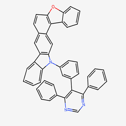 c1ccc(-c2ncnc(-c3ccccc3)c2-c2cccc(-n3c4ccccc4c4cc5ccc6oc7ccccc7c6c5cc43)c2)cc1